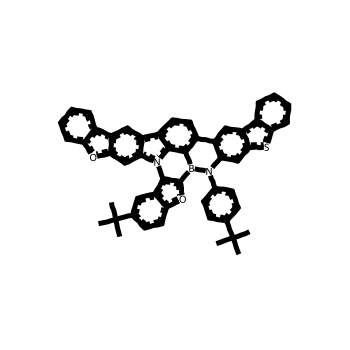 CC(C)(C)c1ccc(N2B3c4oc5ccc(C(C)(C)C)cc5c4-n4c5cc6oc7ccccc7c6cc5c5ccc(c3c54)-c3cc4c(cc32)sc2ccccc24)cc1